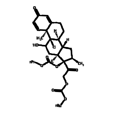 CCCCOC(=O)OCC(=O)[C@@]1(OC(=O)OCCC)[C@H](C)C[C@H]2[C@@H]3CCC4=CC(=O)C=C[C@]4(C)[C@@]3(Cl)C(O)C[C@@]21C